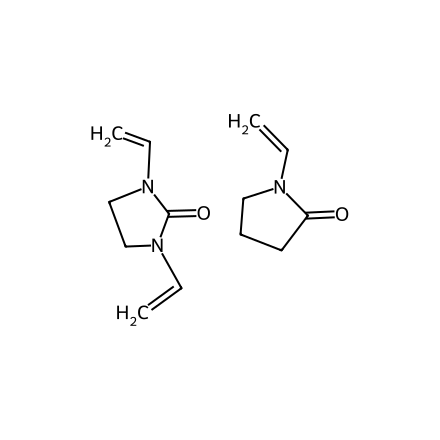 C=CN1CCCC1=O.C=CN1CCN(C=C)C1=O